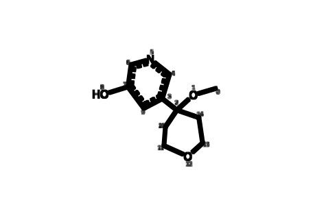 COC1(c2cncc(O)c2)CCOCC1